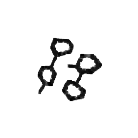 Cc1ccc(-c2ccccc2)cc1.Cc1ccccc1-c1ccccc1